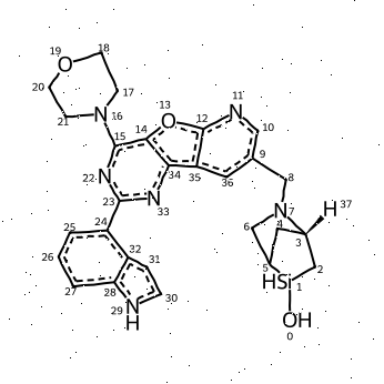 O[SiH]1C[C@@H]2CC1CN2Cc1cnc2oc3c(N4CCOCC4)nc(-c4cccc5[nH]ccc45)nc3c2c1